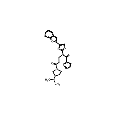 CN(C)C1CCN(C(=O)CCN(C(=O)c2cccs2)c2nc(-c3cc4ccccc4o3)cs2)C1